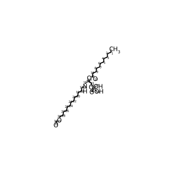 CCCCCCCCCCCC(=O)O[C@@H](CNCCCCCCCCCCCCCOC=O)COP(=O)(O)O